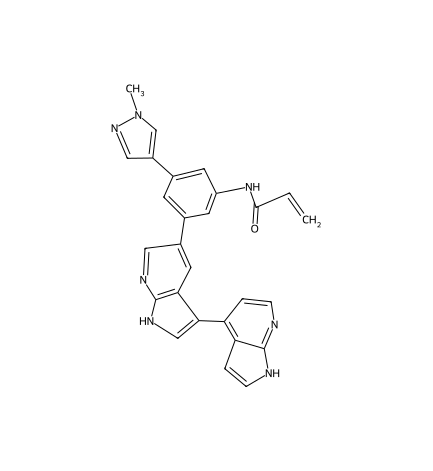 C=CC(=O)Nc1cc(-c2cnc3[nH]cc(-c4ccnc5[nH]ccc45)c3c2)cc(-c2cnn(C)c2)c1